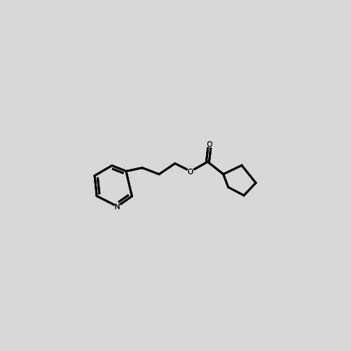 O=C(OCCCc1cccnc1)C1CCCC1